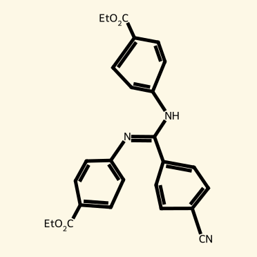 CCOC(=O)c1ccc(/N=C(/Nc2ccc(C(=O)OCC)cc2)c2ccc(C#N)cc2)cc1